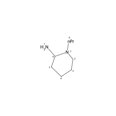 CCCN1CCCCC1N